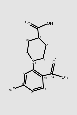 O=C(O)C1CCN(c2cc(F)ccc2[N+](=O)[O-])CC1